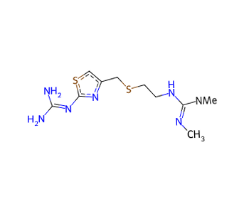 CN=C(NC)NCCSCc1csc(N=C(N)N)n1